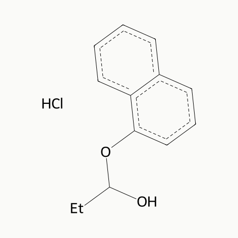 CCC(O)Oc1cccc2ccccc12.Cl